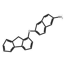 Nc1ccc2cc(Oc3cccc4c3Cc3ccccc3-4)ccc2c1